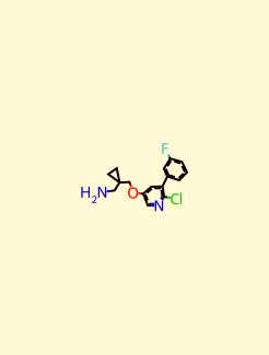 NCC1(COc2cnc(Cl)c(-c3cccc(F)c3)c2)CC1